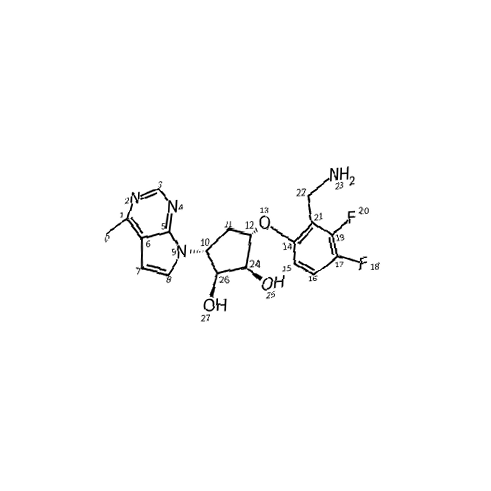 Cc1ncnc2c1ccn2[C@@H]1C[C@H](Oc2ccc(F)c(F)c2CN)[C@@H](O)[C@H]1O